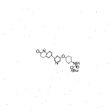 CN1C(=O)CCc2cc(-c3cncc(OC4CCC(NC(=O)OC(C)(C)C)CC4)c3)ccc21